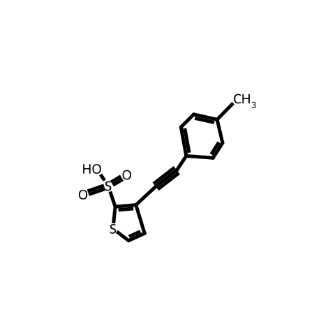 Cc1ccc(C#Cc2ccsc2S(=O)(=O)O)cc1